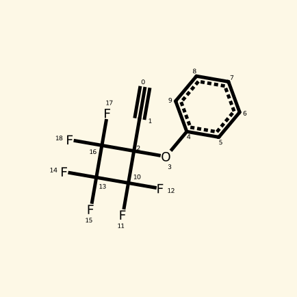 C#CC1(Oc2ccccc2)C(F)(F)C(F)(F)C1(F)F